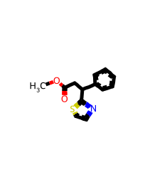 COC(=O)CC(c1ccccc1)c1nccs1